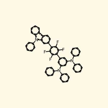 Fc1c(F)c(-c2ccc3c4ccccc4n(-c4ccccc4)c3c2)c(F)c(F)c1-c1cc(N(c2ccccc2)c2ccccc2)cc(N(c2ccccc2)c2ccccc2)c1